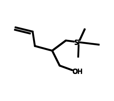 C=CCC(CO)C[Si](C)(C)C